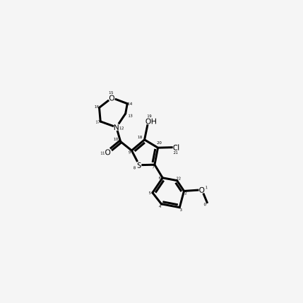 COc1cccc(-c2sc(C(=O)N3CCOCC3)c(O)c2Cl)c1